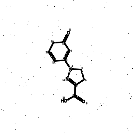 O=C1C=C(N2CCC(C(=O)O)=N2)C=CC1